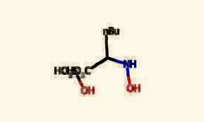 CCCCC(NO)C(=O)O.O=S(=O)(O)O